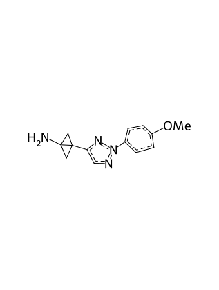 COc1ccc(-n2ncc(C34CC3(N)C4)n2)cc1